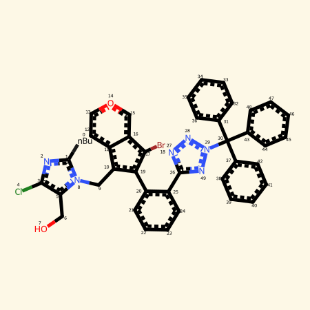 CCCCc1nc(Cl)c(CO)n1Cc1c2ccocc-2c(Br)c1-c1ccccc1-c1nnn(C(c2ccccc2)(c2ccccc2)c2ccccc2)n1